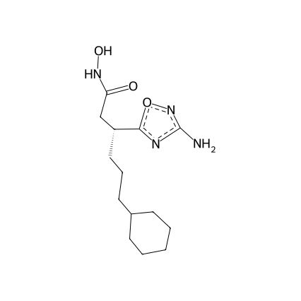 Nc1noc([C@H](CCCC2CCCCC2)CC(=O)NO)n1